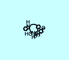 COc1ccc(N(C)C(=O)[C@@H]2Cc3cccc(c3)CCCc3[nH]c4ccccc4c3CC(O)N2)cc1